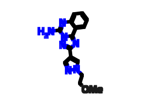 COCCn1cc(-c2nc3c4ccccc4nc(N)n3n2)cn1